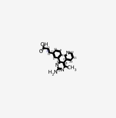 Cc1nc(N)nc(-c2cccc(/C=C/C(=O)O)c2)c1-c1cccnc1